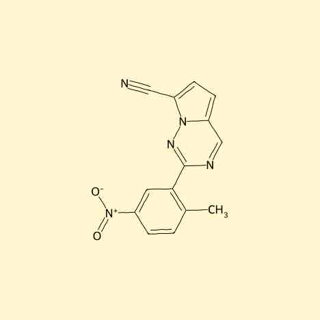 Cc1ccc([N+](=O)[O-])cc1-c1ncc2ccc(C#N)n2n1